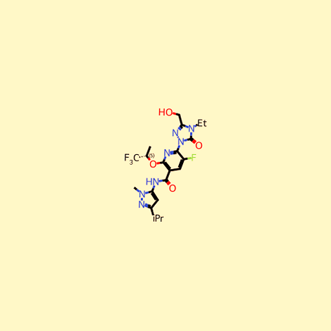 CCn1c(CO)nn(-c2nc(O[C@@H](C)C(F)(F)F)c(C(=O)Nc3cc(C(C)C)nn3C)cc2F)c1=O